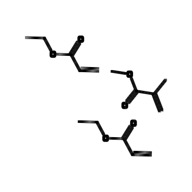 C=C(C)C(=O)OC.C=CC(=O)OCC.C=CC(=O)OCC